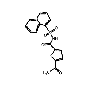 O=C(NS(=O)(=O)c1cccc2ccccc12)c1ccc(C(=O)C(F)(F)F)s1